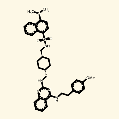 COc1ccc(CCNc2nc(NC[C@H]3CC[C@H](CNS(=O)(=O)c4ccc(N(C)C)c5ccccc45)CC3)nc3ccccc23)cc1